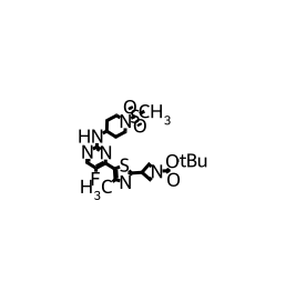 Cc1nc(C2CN(C(=O)OC(C)(C)C)C2)sc1-c1nc(NC2CCN(S(C)(=O)=O)CC2)ncc1F